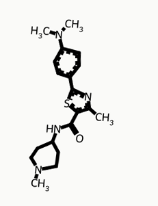 Cc1nc(-c2ccc(N(C)C)cc2)sc1C(=O)NC1CCN(C)CC1